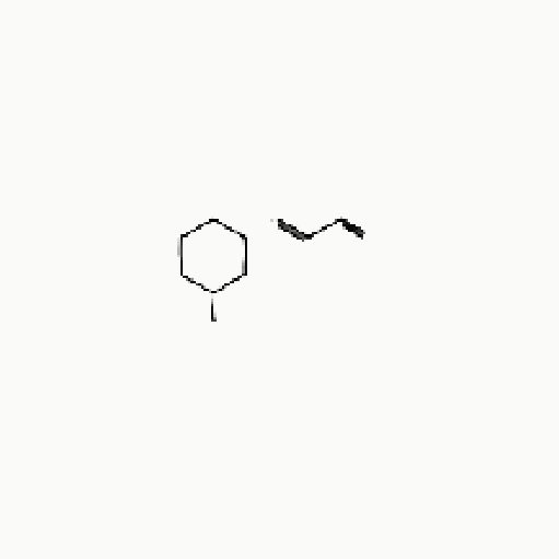 C[C@H]1CCC[C@H](C=CC=O)C1